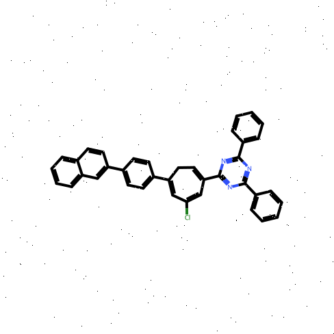 ClC1=CC(c2nc(-c3ccccc3)nc(-c3ccccc3)n2)=CCC(c2ccc(-c3ccc4ccccc4c3)cc2)=C1